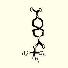 CC(C)(C)OC(=O)N1CCC2(CCN(C(=O)Cl)CC2)CC1